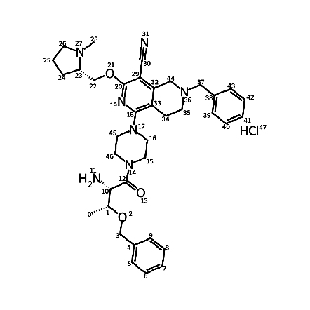 C[C@@H](OCc1ccccc1)[C@H](N)C(=O)N1CCN(c2nc(OC[C@@H]3CCCN3C)c(C#N)c3c2CCN(Cc2ccccc2)C3)CC1.Cl